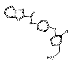 O=C(O)Cc1ccc(Oc2ccc(NC(=O)c3nc4ccccc4o3)cc2)c(Cl)c1